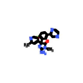 CN1C(=O)C(c2ccnc(C(F)(F)F)c2)(c2cc(-c3cnccn3)ccc2F)N=C1N